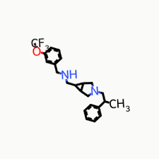 CC(CN1CC2C(CNCc3cccc(OC(F)(F)F)c3)C2C1)c1ccccc1